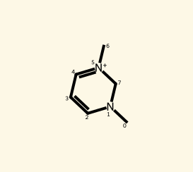 CN1C=CC=[N+](C)C1